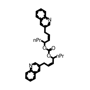 CCCC(/C=C\Cc1cnc2ccccc2c1)OC(=O)OC(/C=C\Cc1cnc2ccccc2c1)CCC